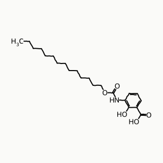 CCCCCCCCCCCCCCOC(=O)Nc1cccc(C(=O)O)c1O